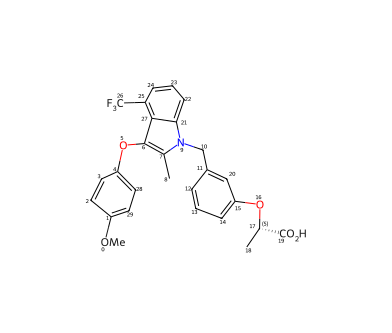 COc1ccc(Oc2c(C)n(Cc3cccc(O[C@@H](C)C(=O)O)c3)c3cccc(C(F)(F)F)c23)cc1